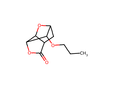 CCCOC1C2CC3C(=O)OC1C3O2